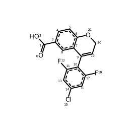 O=C(O)c1ccc2c(c1)C(c1c(F)cc(Cl)cc1F)=CCO2